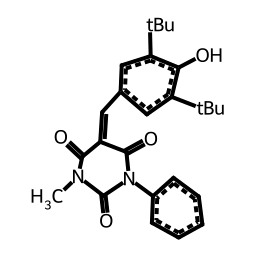 CN1C(=O)C(=Cc2cc(C(C)(C)C)c(O)c(C(C)(C)C)c2)C(=O)N(c2ccccc2)C1=O